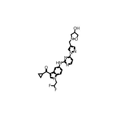 O=C(c1cn(CC(F)F)c2ccc(Nc3nccc(-n4cc(CN5CC(O)CO5)cn4)n3)cc12)C1CC1